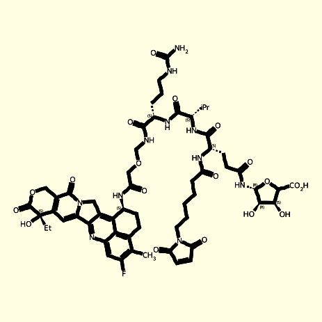 CC[C@@]1(O)C(=O)OCc2c1cc1n(c2=O)Cc2c-1nc1cc(F)c(C)c3c1c2[C@@H](NC(=O)COCNC(=O)[C@H](CCCNC(N)=O)NC(=O)[C@@H](NC(=O)[C@H](CCC(=O)N[C@@H]1OC(C(=O)O)[C@@H](O)[C@H]1O)NC(=O)CCCCCN1C(=O)C=CC1=O)C(C)C)CC3